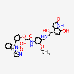 CCOc1cc(NC(=O)COc2cccc(C(c3ccccc3)N(C(=O)O)[C@H]3CN4CCC3CC4)c2)ccc1CNC[C@@H](O)c1ccc(O)c2[nH]c(=O)ccc12